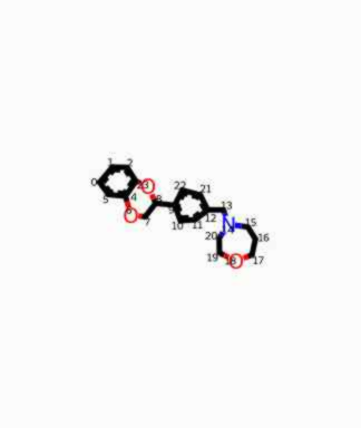 c1ccc2c(c1)OCC(c1ccc(CN3CCCOCC3)cc1)O2